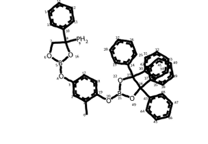 Cc1cc(OB2OCC(P)(c3ccccc3)O2)ccc1OB1OC(c2ccccc2)(c2ccccc2)C(c2ccccc2)(c2ccccc2)O1